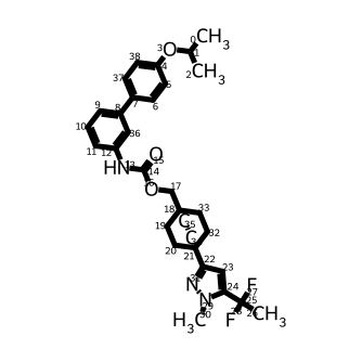 CC(C)Oc1ccc(-c2cccc(NC(=O)OCC34CCC(c5cc(C(C)(F)F)n(C)n5)(CC3)CC4)c2)cc1